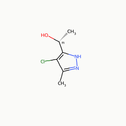 Cc1n[nH]c([C@@H](C)O)c1Cl